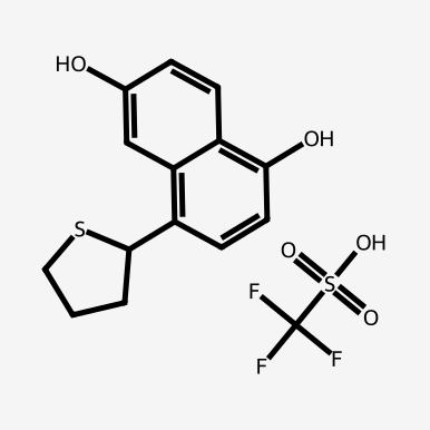 O=S(=O)(O)C(F)(F)F.Oc1ccc2c(O)ccc(C3CCCS3)c2c1